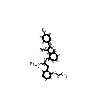 CCOC(=O)C(Cc1ccccc1OCC(F)(F)F)Oc1cccc2oc(-c3ccc(F)cc3)c(Br)c12